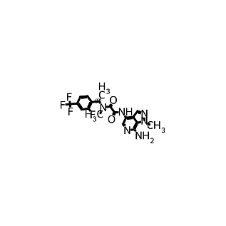 C[C@@H](c1ccc(C(F)(F)F)cc1F)N(C)C(=O)C(=O)Nc1cnc(N)c2c1cnn2C